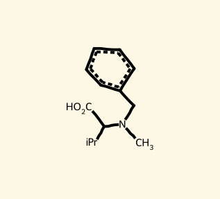 CC(C)C(C(=O)O)N(C)Cc1ccccc1